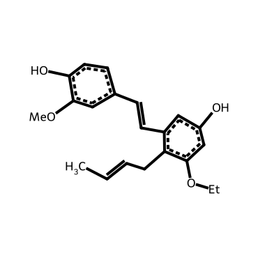 C/C=C/Cc1c(/C=C/c2ccc(O)c(OC)c2)cc(O)cc1OCC